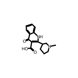 CN1CCCC(c2[nH]c3ccccc3c(=O)c2C(=O)O)C1